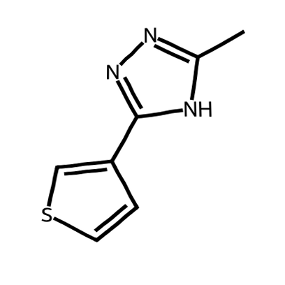 Cc1nnc(-c2ccsc2)[nH]1